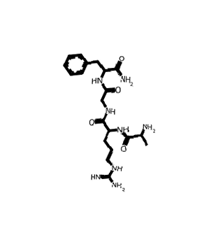 CC(N)C(=O)NC(CCCNC(=N)N)C(=O)NCC(=O)NC(Cc1ccccc1)C(N)=O